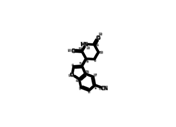 N#Cc1ccc2occ(C3CCC(=O)NC3=O)c2c1